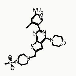 Cc1cc(N)ncc1-c1nc(N2CCOCC2)c2cc(CN3CCN(S(C)(=O)=O)CC3)sc2n1